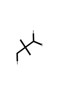 CC(C)(CI)[C](I)I